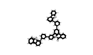 O=c1c2ccccc2c2cc(-c3cccc(-c4cccc5c4oc4ccccc45)c3)cc3c4cc(-c5cccc(-c6cccc7c6oc6ccccc67)c5)ccc4n1c23